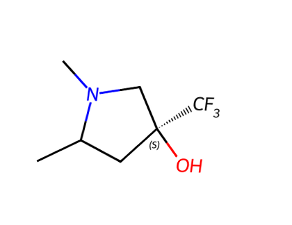 CC1C[C@@](O)(C(F)(F)F)CN1C